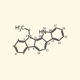 CCn1c2ccccc2c2ccc3c4ccccc4[nH]c3c21